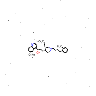 COc1ccc2nccc([C@H](O)CC[C@@H]3CCN(CCCCc4ccccc4C)C[C@H]3CCC(=O)O)c2c1